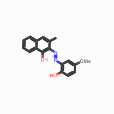 COc1ccc(O)c(/N=N/c2c(C)cc3ccccc3c2O)c1